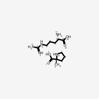 C[C@]1(C(=O)O)CCCN1.N=C(N)NCCC[C@H](N)C(=O)O